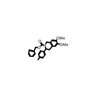 COc1cc2c(cc1OC)CN(C(=O)OCc1ccccc1)C(c1ccc(C)cc1)C2